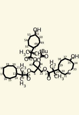 CC(C)(C)C(=O)OCC(COC(=O)C(C)(C)C1CCCCCCCC1)(COC(=O)C(C)(C)C1CCCCCC(O)CCC1)COC(=O)C(C)(C)C1CCCC(O)CCC1